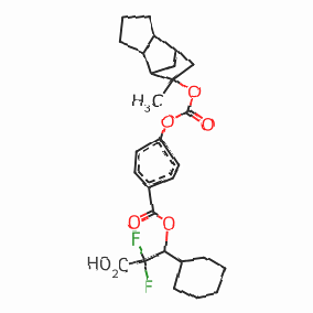 CC1(OC(=O)Oc2ccc(C(=O)OC(C3CCCCC3)C(F)(F)C(=O)O)cc2)CC2CC1C1CCCC21